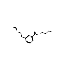 CCCCOC(=O)c1cccc(CCO[C]=O)c1